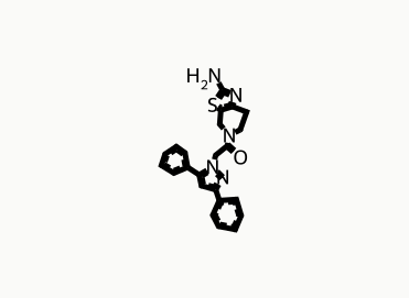 Nc1nc2c(s1)CN(C(=O)Cn1nc(-c3ccccc3)cc1-c1ccccc1)CC2